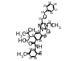 C=C(C)C(CO)c1cc(-n2nc(COCc3ccccc3)n(CC)c2=O)c(F)cc1C(=O)Nc1cc(C)ccc1F